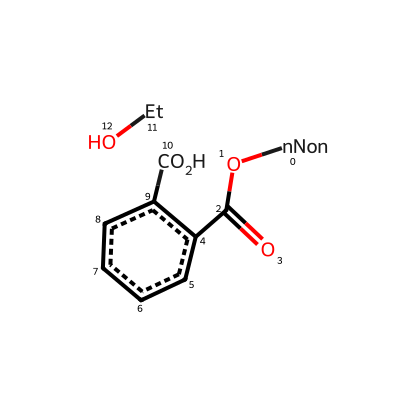 CCCCCCCCCOC(=O)c1ccccc1C(=O)O.CCO